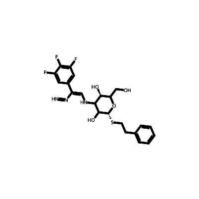 N=N/C(=C\NC1C(O)[C@@H](SCCc2ccccc2)OC(CO)[C@@H]1O)c1cc(F)c(F)c(F)c1